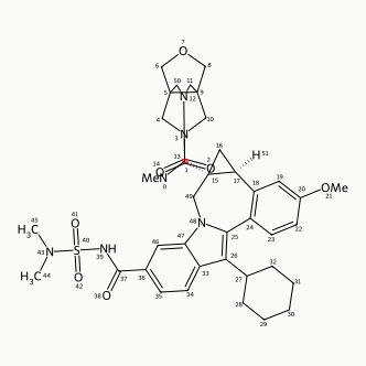 CNC(=O)N1CC23COCC2(C1)CN(C(=O)[C@]12C[C@H]1c1cc(OC)ccc1-c1c(C4CCCCC4)c4ccc(C(=O)NS(=O)(=O)N(C)C)cc4n1C2)C3